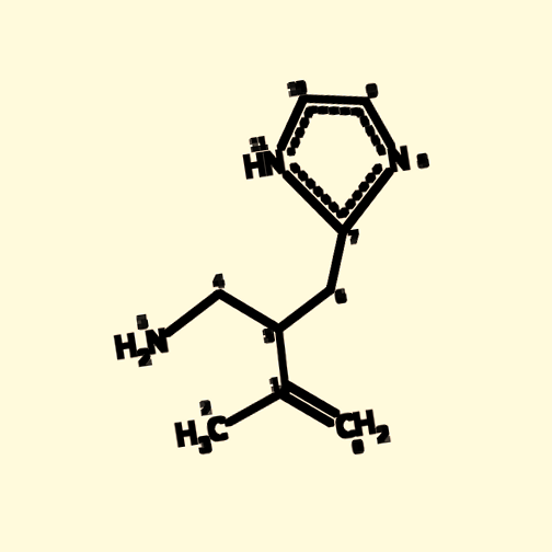 C=C(C)C(CN)Cc1ncc[nH]1